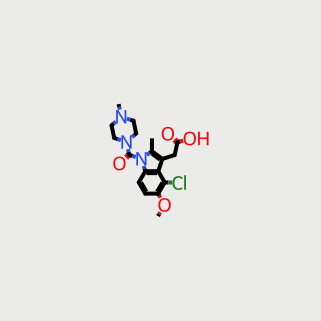 COc1ccc2c(c1Cl)c(CC(=O)O)c(C)n2C(=O)N1CCN(C)CC1